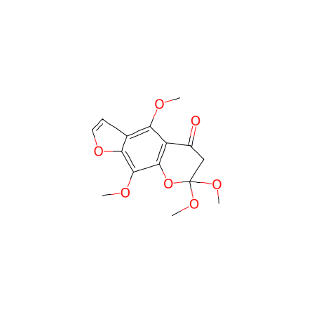 COc1c2c(c(OC)c3occc13)OC(OC)(OC)CC2=O